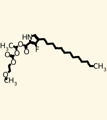 CCCCCCCCCCCCCc1c[nH]c(C(=O)OC(C)OC(=O)OCCOC)c1F